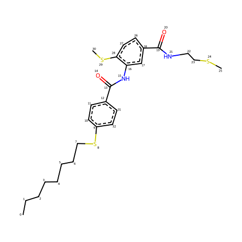 CCCCCCCCSc1ccc(C(=O)Nc2cc(C(=O)NCCSC)ccc2SC)cc1